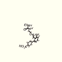 CCNC(=O)NCCO/N=C/c1c(N)ncnc1N1CCN(C(=O)O)CC1